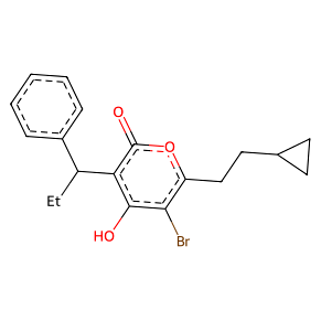 CCC(c1ccccc1)c1c(O)c(Br)c(CCC2CC2)oc1=O